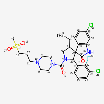 CC(C)(C)CC1CN(C(=O)N2CCN(CCCS(C)(=O)=O)CC2)C(c2cccc(Cl)c2F)C12C(=O)Nc1cc(Cl)ccc12